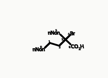 CCCCCCCCCCCC(Br)(CCCCCCCCC)C(=O)O